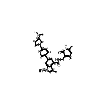 Cc1cc(C)c(CNC(=O)c2cc(-c3ccc(N4CCC(N(C)C)C4)nc3)cc3c2c(C)cn3C(C)C)c(=O)[nH]1